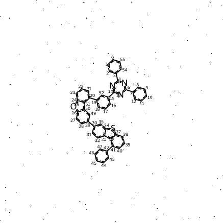 c1ccc(-c2nc(-c3ccccc3)nc(-c3cccc(-c4cccc5oc6ccc(-c7ccc8c(c7)sc7cccc(-c9ccccc9)c78)cc6c45)c3)n2)cc1